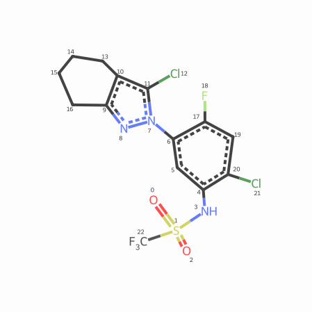 O=S(=O)(Nc1cc(-n2nc3c(c2Cl)CCCC3)c(F)cc1Cl)C(F)(F)F